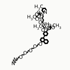 COC(=O)C[C@H](NC(=O)[C@H](C)NC(=O)CCCN(C(=O)OC(C)(C)C)c1cc(C)ccn1)c1ccc(-c2ccc(OCCOCCOCCOCCOCCN=[N+]=[N-])c3ccccc23)cc1